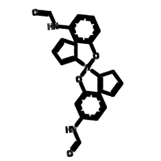 O=CNc1cccc([O][Zr]([O]c2cccc(NC=O)c2)([C]2=CC=CC2)[C]2=CC=CC2)c1